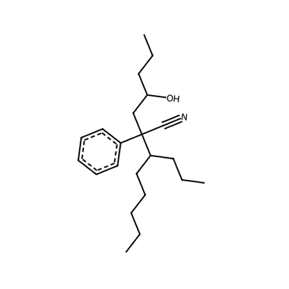 CCCCCC(CCC)C(C#N)(CC(O)CCC)c1ccccc1